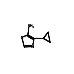 Nc1scnc1C1CC1